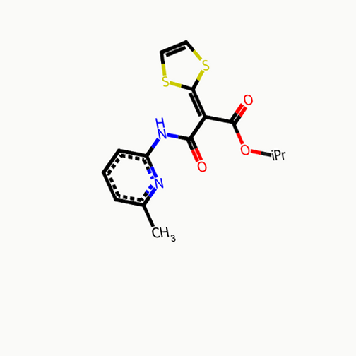 Cc1cccc(NC(=O)C(C(=O)OC(C)C)=C2SC=CS2)n1